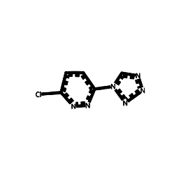 Clc1ccc(-n2cnnn2)nn1